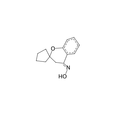 ON=C1CC2(CCCC2)Oc2ccccc21